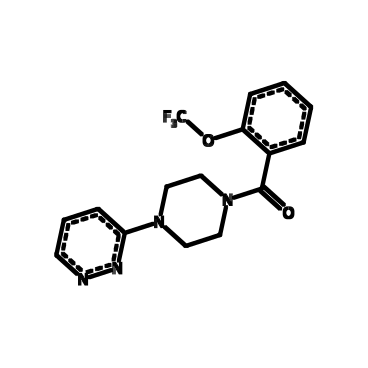 O=C(c1ccccc1OC(F)(F)F)N1CCN(c2cccnn2)CC1